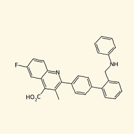 Cc1c(-c2ccc(-c3ccccc3CNc3ccccc3)cc2)nc2ccc(F)cc2c1C(=O)O